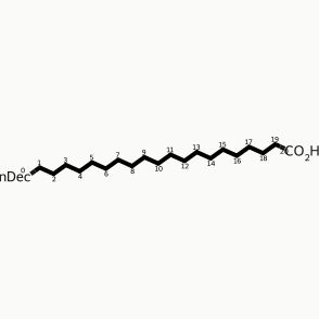 CCCCCCCCCCCCCCCCCCCCCCCCCCCCCC(=O)O